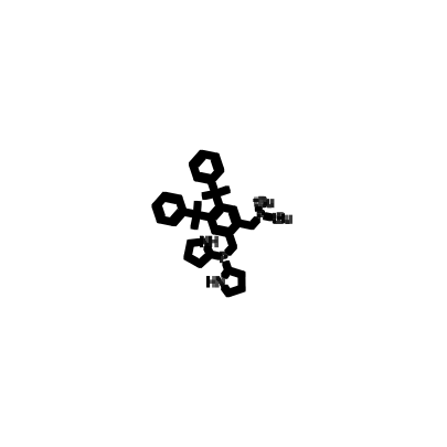 CC(C)(c1ccccc1)c1cc(CP(C2CCCN2)C2CCCN2)c(CP(C(C)(C)C)C(C)(C)C)cc1C(C)(C)c1ccccc1